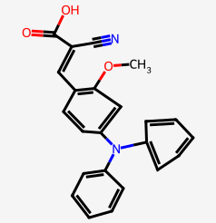 COc1cc(N(c2ccccc2)c2ccccc2)ccc1/C=C(\C#N)C(=O)O